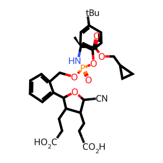 C[C@H](NP(=O)(OCc1ccccc1C1OC(C#N)C(CCC(=O)O)C1CCC(=O)O)Oc1ccc(C(C)(C)C)cc1)C(=O)OCC1CC1